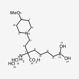 COC1CCN(CCC(N)(CCCCB(O)O)C(=O)O)CC1.Cl.Cl